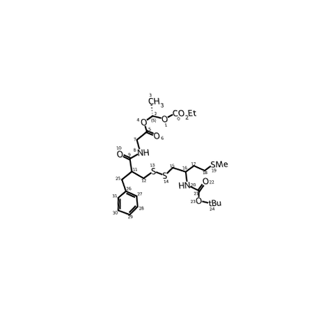 CCOC(=O)O[C@@H](C)OC(=O)CNC(=O)C(CSSCC(CCSC)NC(=O)OC(C)(C)C)Cc1ccccc1